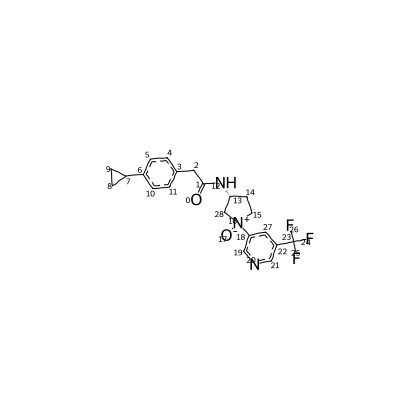 O=C(Cc1ccc(C2CC2)cc1)N[C@@H]1CC[N+]([O-])(c2cncc(C(F)(F)F)c2)C1